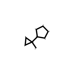 CC1(C2CCCC2)CC1